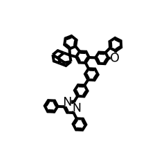 c1ccc(-c2cc(-c3ccccc3)nc(-c3ccc(-c4cccc(-c5cc6c(cc5-c5ccc7oc8ccccc8c7c5)-c5ccccc5C65C6CC7CC(C6)CC5C7)c4)cc3)n2)cc1